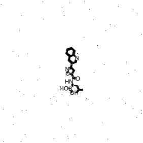 CC(C)C[C@H](NC(=O)C1CC(c2cnc3ccccc3c2)=NO1)B(O)O